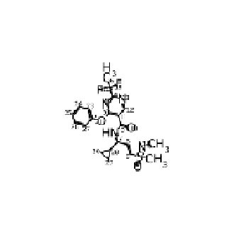 CN=S(C)(=O)/C=C/C(NC(=O)c1cnc(C(C)(F)F)nc1Oc1ccccc1)C1CC1